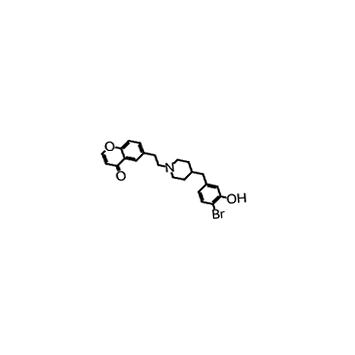 O=c1ccoc2ccc(CCN3CCC(Cc4ccc(Br)c(O)c4)CC3)cc12